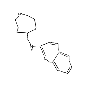 c1ccc2nc(NC3CCNCC3)ccc2c1